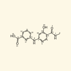 CNC(=O)c1cnc(Nc2cccc(C(=O)O)n2)cc1O